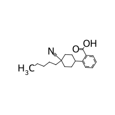 CCCCCC1(C#N)CCC(c2ccccc2C(=O)O)CC1